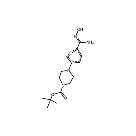 CC(C)(C)OC(=O)N1CCN(c2ccc(/C(N)=N/O)cc2)CC1